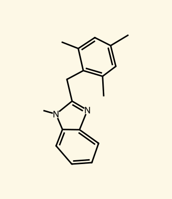 Cc1cc(C)c(Cc2nc3ccccc3n2C)c(C)c1